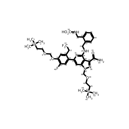 C[Si](C)(C)CCOCOc1cc(CC(F)(F)F)c(-c2cc3c(c(NCc4ccccc4CNC(=O)O)n2)c(C(N)=O)nn3COCC[Si](C)(C)C)cc1F